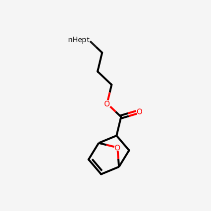 CCCCCCCCCCOC(=O)C1CC2C=CC1O2